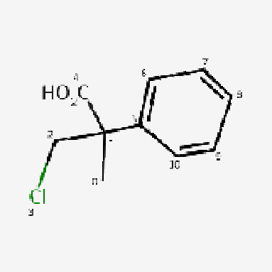 CC(CCl)(C(=O)O)c1ccccc1